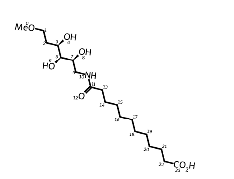 COCC[C@@H](O)[C@H](O)[C@@H](O)CNC(=O)CCCCCCCCCCC(=O)O